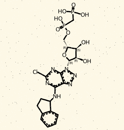 O=P(O)(O)CP(=O)(O)OC[C@H]1O[C@@H](n2nnc3c(NC4CCc5ccccc54)nc(Cl)nc32)[C@H](O)[C@@H]1O